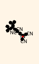 N#Cc1ccc(-c2cc(-c3ccc(-c4cc(C#N)c(-c5ccc(-n6c7ccc(N(c8ccccc8)c8ccccc8)cc7c7cc(N(c8ccccc8)c8ccccc8)ccc76)cc5)c(C#N)c4)cc3)nc(-c3ccc(C#N)cc3)n2)cc1